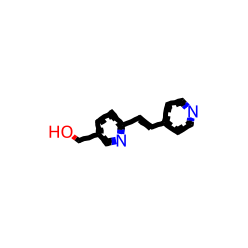 OCc1ccc(C=Cc2ccncc2)nc1